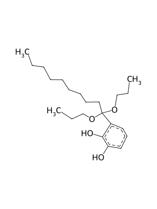 CCCCCCCCCC(OCCC)(OCCC)c1cccc(O)c1O